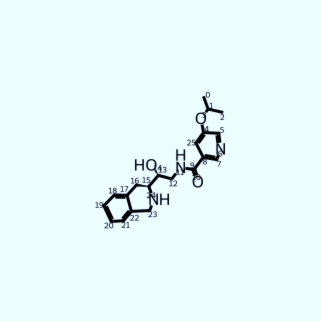 CC(C)Oc1cncc(C(=O)NC[C@@H](O)[C@@H]2Cc3ccccc3CN2)c1